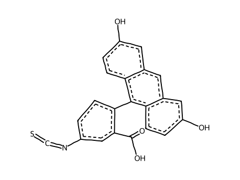 O=C(O)c1cc(N=C=S)ccc1-c1c2ccc(O)cc2cc2cc(O)ccc12